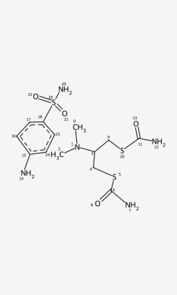 CN(C)C(CSC(N)=O)CSC(N)=O.Nc1ccc(S(N)(=O)=O)cc1